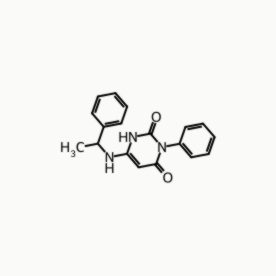 CC(Nc1cc(=O)n(-c2ccccc2)c(=O)[nH]1)c1ccccc1